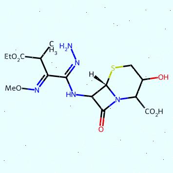 CCOC(=O)C(C)C(=NOC)C(=NN)NC1C(=O)N2C(C(=O)O)C(O)CS[C@@H]12